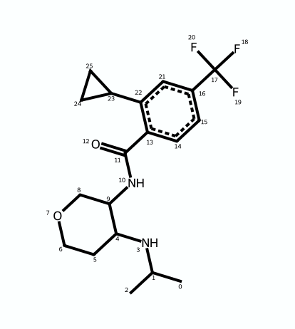 CC(C)NC1CCOCC1NC(=O)c1ccc(C(F)(F)F)cc1C1CC1